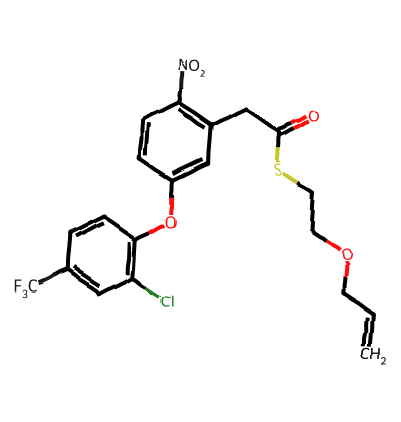 C=CCOCCSC(=O)Cc1cc(Oc2ccc(C(F)(F)F)cc2Cl)ccc1[N+](=O)[O-]